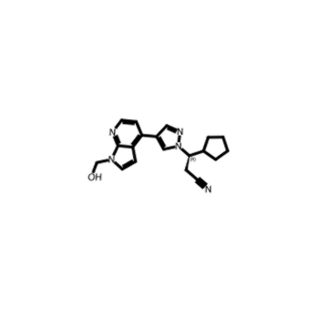 N#CC[C@H](C1CCCC1)n1cc(-c2ccnc3c2ccn3CO)cn1